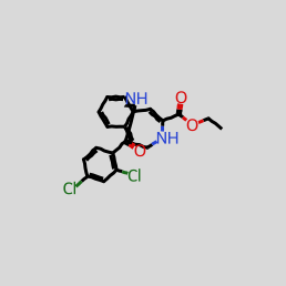 CCOC(=O)C1=CC23C(=CCN1)C=CC=C2NCC3C(=O)c1ccc(Cl)cc1Cl